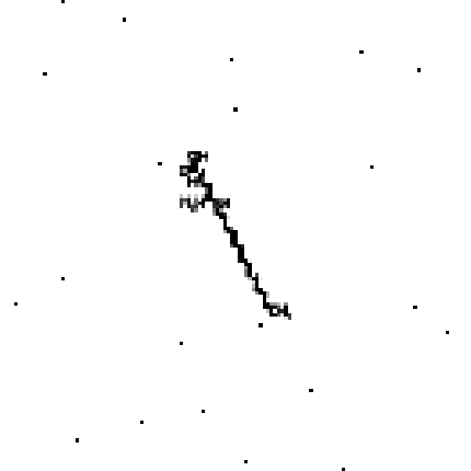 CCCCCCCCCCCCCCNC(N)CNCC(=O)O